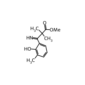 COC(=O)C(C)(C)C(=N)c1cccc(C)c1O